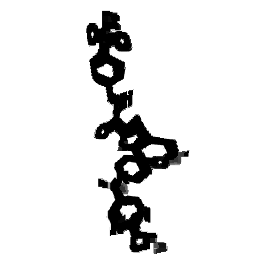 CCS(=O)(=O)c1ccc(CNC(=O)c2cc3c(s2)C2(CCN([C@@H](C)c4cnc(C(F)(F)F)nc4)CC2)O[C@@H](C)C3)cc1